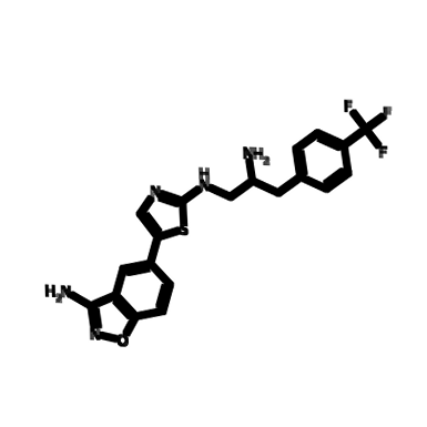 Nc1noc2ccc(-c3cnc(NCC(N)Cc4ccc(C(F)(F)F)cc4)s3)cc12